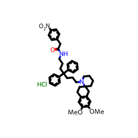 COc1cc2c(cc1OC)CC1(CCCCN1CCCC(CCCNC(=O)Cc1ccc([N+](=O)[O-])cc1)(c1ccccc1)c1ccccc1)CC2.Cl